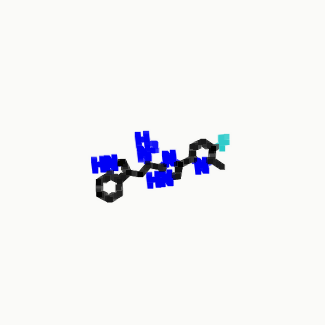 Cc1nc(-c2c[nH]c([C@H](N)Cc3c[nH]c4ccccc34)n2)ccc1F